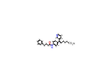 O=C(O)CCC/C=C(/c1ccc(NC(=O)CCCc2ccccc2)cc1)c1cccnc1